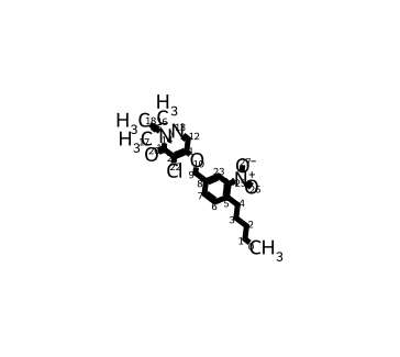 CCCCCc1ccc(COc2cnn(C(C)(C)C)c(=O)c2Cl)cc1[N+](=O)[O-]